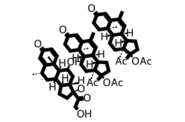 CC(=O)O[C@]1(C(C)=O)CC[C@H]2[C@@H]3C=C(C)C4=CC(=O)CC[C@]4(C)[C@H]3CC[C@@]21C.CC(=O)O[C@]1(C(C)=O)CC[C@H]2[C@@H]3C=C(C)C4=CC(=O)CC[C@]4(C)[C@H]3CC[C@@]21C.C[C@H]1C[C@@H]2[C@H]([C@@H](O)C[C@@]3(C)[C@H]2CC[C@]3(O)C(=O)CO)[C@@]2(C)C=CC(=O)C=C12